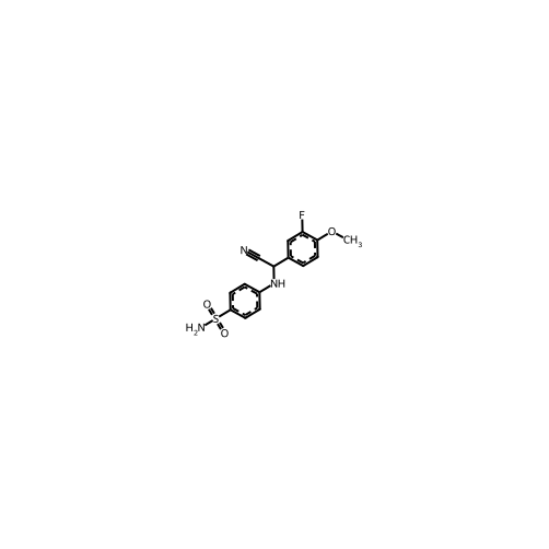 COc1ccc(C(C#N)Nc2ccc(S(N)(=O)=O)cc2)cc1F